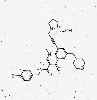 Cn1cc(C(=O)NCc2ccc(Cl)cc2)c(=O)c2cc(CN3CCOCC3)cc(C#CCN3CCC[C@@H]3CO)c21